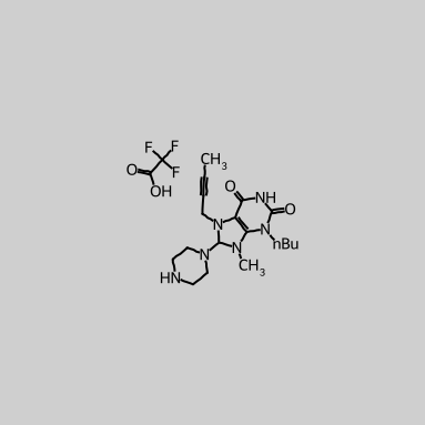 CC#CCN1c2c(n(CCCC)c(=O)[nH]c2=O)N(C)C1N1CCNCC1.O=C(O)C(F)(F)F